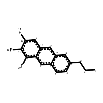 CCCc1ccc2cc3c(F)c(F)c(F)cc3cc2c1